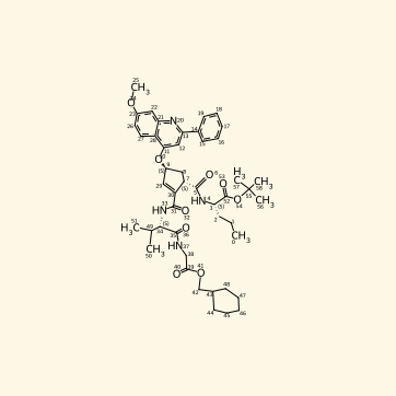 CCC[C@H](NC(=O)[C@H]1C[C@H](Oc2cc(-c3ccccc3)nc3cc(OC)ccc23)C=C1C(=O)N[C@H](C(=O)NCC(=O)OCC1CCCCC1)C(C)C)C(=O)OC(C)(C)C